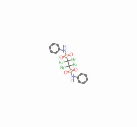 O=S(=O)(Nc1ccccc1)C(Br)(Br)C(Br)(Br)S(=O)(=O)Nc1ccccc1